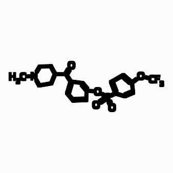 CN1CCC(C(=O)c2cccc(OS(=O)(=O)c3ccc(OC(F)(F)F)cc3)c2)CC1